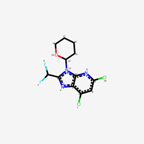 FC(F)c1nc2c(Cl)cc(Cl)nc2n1C1CCCCO1